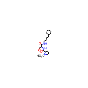 O=C(NCCCCC1CCCCC1)C(CO)NC(=O)C1CCCN1C(=O)O